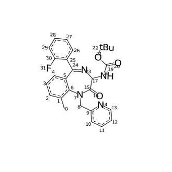 Cc1cccc2c1N(Cc1ccccn1)C(=O)C(NC(=O)OC(C)(C)C)N=C2c1ccccc1F